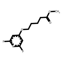 COC(=O)CCCCOc1cc(F)nc(F)c1